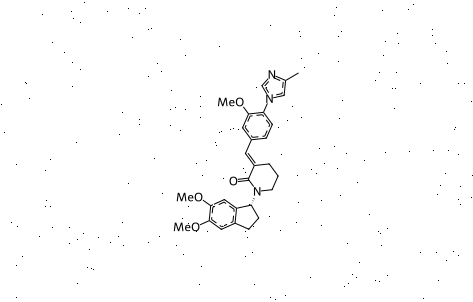 COc1cc2c(cc1OC)[C@H](N1CCC/C(=C\c3ccc(-n4cnc(C)c4)c(OC)c3)C1=O)CC2